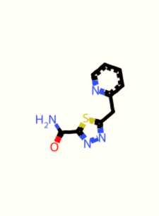 NC(=O)c1nnc(Cc2ccccn2)s1